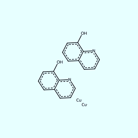 Oc1cccc2cccnc12.Oc1cccc2cccnc12.[Cu].[Cu]